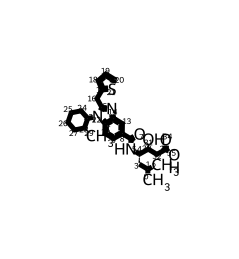 CC(C)C[C@H](NC(=O)c1ccc2c(c1)nc(Cc1cccs1)n2C1CCCC[C@H]1C)[C@H](O)CC(=O)O